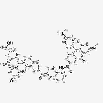 C/N=c1/ccc2c(-c3ccc(C(=O)Nc4cccc5cc(C(=O)NCc6c7oc8cc(O)ccc8c(-c8ccc(C(=O)O)cc8C(=O)O)c-7ccc6=O)ccc45)cc3C(=O)O)c3ccc(N(C)C)cc3oc-2c1